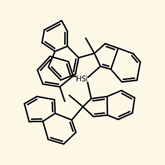 Cc1ccccc1[SiH](C1=c2ccccc2=CC1(C)c1cccc2ccccc12)C1=c2ccccc2=CC1(C)c1cccc2ccccc12